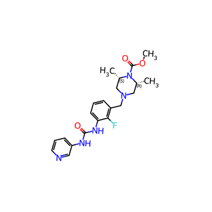 COC(=O)N1[C@H](C)CN(Cc2cccc(NC(=O)Nc3cccnc3)c2F)C[C@@H]1C